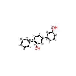 Oc1cccc(-c2ccc(-c3ccccc3)c(O)c2)c1